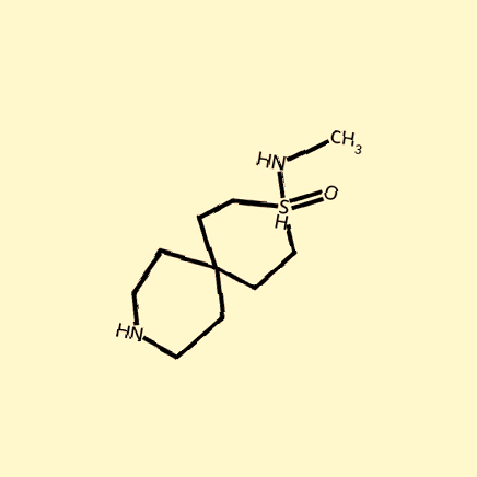 CN[SH]1(=O)CCC2(CCNCC2)CC1